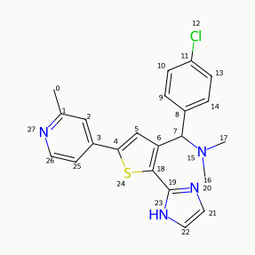 Cc1cc(-c2cc(C(c3ccc(Cl)cc3)N(C)C)c(-c3ncc[nH]3)s2)ccn1